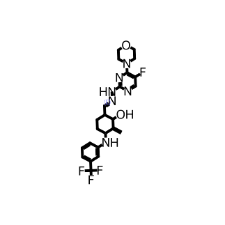 C=C1C(Nc2cccc(C(F)(F)F)c2)CCC(/C=N/Nc2ncc(F)c(N3CCOCC3)n2)C1O